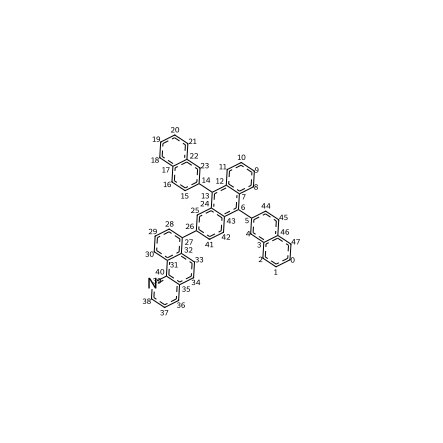 c1ccc2cc(-c3c4ccccc4c(-c4ccc5ccccc5c4)c4cc(-c5cccc6c5ccc5cccnc56)ccc34)ccc2c1